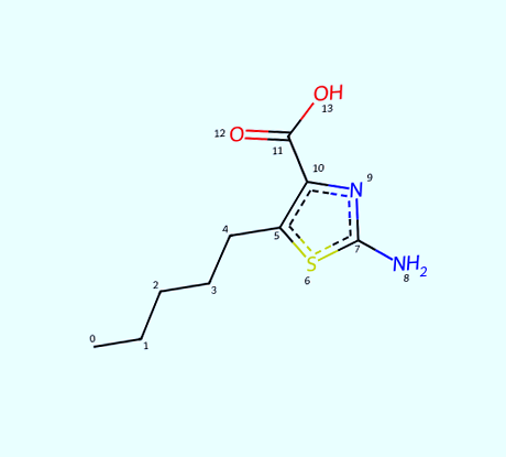 CCCCCc1sc(N)nc1C(=O)O